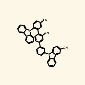 N#Cc1ccc(-n2c3ccccc3c3ccccc32)c(-c2ccc(-c3cccc(-n4c5ccccc5c5cc(C#N)ccc54)c3)cc2C#N)c1